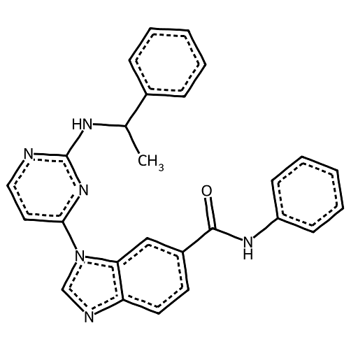 CC(Nc1nccc(-n2cnc3ccc(C(=O)Nc4ccccc4)cc32)n1)c1ccccc1